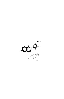 O=P(O)(O)OP(=O)(O)OP(=O)(O)O.O=c1c2ccc(F)cc2ccn1[C@@H]1O[C@H](CO)[C@@H](O)[C@H]1O